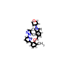 COc1c(C(=O)O)cnn1-c1cccc(-c2cccc(C)c2OCc2ccc3c(c2)CN(C2CCOCC2)C3)n1